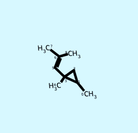 C[C]1CC1(C)C=C(C)C